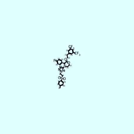 Cc1ccc(S(=O)(=O)CCn2nnc(N3CCO[C@@H](OCCc4cc(C(F)(F)F)cc(C(F)(F)F)c4)[C@@H]3c3ccc(F)cc3)n2)cc1